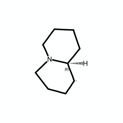 [CH]1CCCN2CCCC[C@@H]12